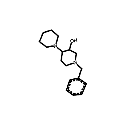 OC1CN(Cc2ccccc2)CCC1N1CCCCC1